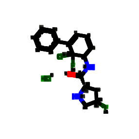 Cl.O=C(NC1C=CC=C(c2ccccc2)C1(F)Cl)[C@@H]1C[C@@H](F)CN1